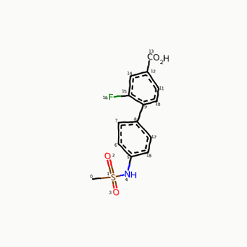 CS(=O)(=O)Nc1ccc(-c2ccc(C(=O)O)cc2F)cc1